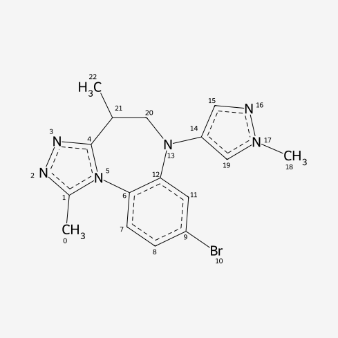 Cc1nnc2n1-c1ccc(Br)cc1N(c1cnn(C)c1)CC2C